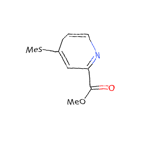 COC(=O)c1cc(SC)ccn1